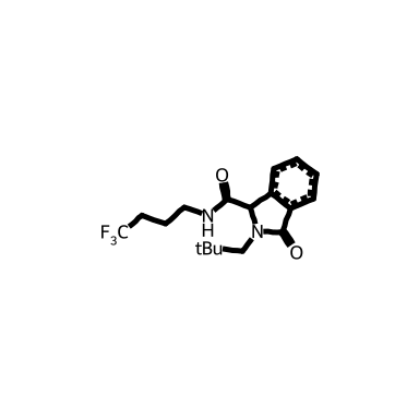 CC(C)(C)CN1C(=O)c2ccccc2C1C(=O)NCCCC(F)(F)F